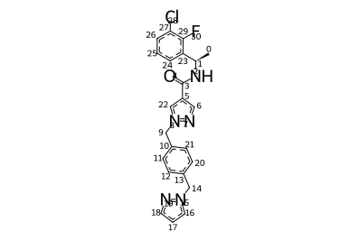 C[C@@H](NC(=O)c1cnn(Cc2ccc(Cn3cccn3)cc2)c1)c1cccc(Cl)c1F